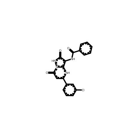 O=C(Nc1c(=O)[nH]n2c(=O)cc(-c3cccc(Cl)c3)[nH]c12)c1ccccc1